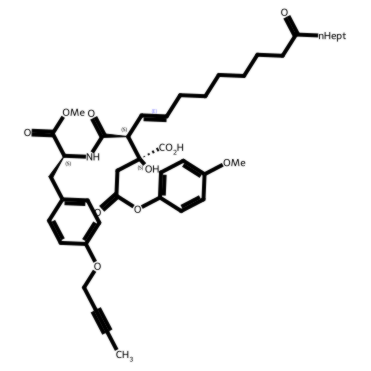 CC#CCOc1ccc(C[C@H](NC(=O)[C@@H](/C=C/CCCCCCC(=O)CCCCCCC)[C@@](O)(CC(=O)Oc2ccc(OC)cc2)C(=O)O)C(=O)OC)cc1